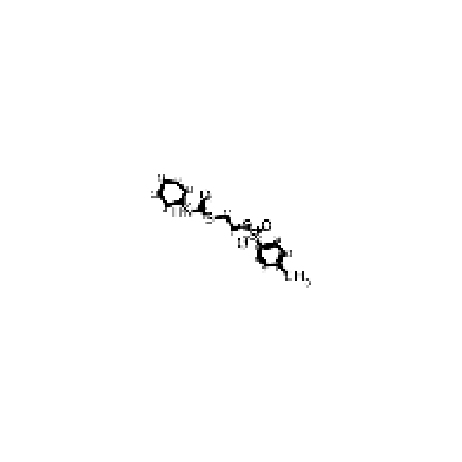 Cc1ccc(S(=O)(=O)OCCSC(=O)NC2CCCCC2)cc1